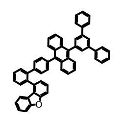 c1ccc(-c2cc(-c3ccccc3)cc(-c3c4ccccc4c(-c4ccc(-c5ccccc5-c5cccc6oc7ccccc7c56)cc4)c4ccccc34)c2)cc1